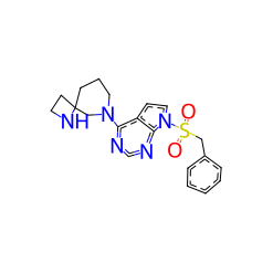 O=S(=O)(Cc1ccccc1)n1ccc2c(N3CCCC4(CCN4)C3)ncnc21